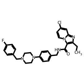 CCc1nc2cc(Cl)ccn2c1C(=O)NCc1ccc(N2CCN(Cc3ccc(F)cc3)CC2)cc1